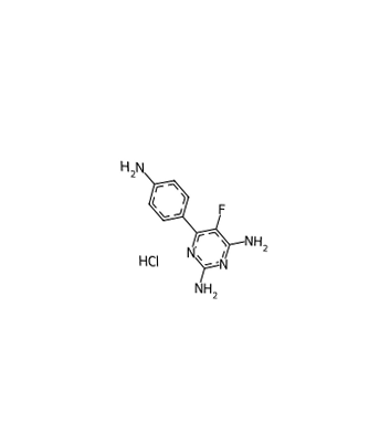 Cl.Nc1ccc(-c2nc(N)nc(N)c2F)cc1